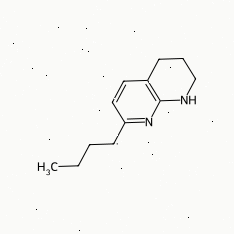 CCC[CH]c1ccc2c(n1)NCCC2